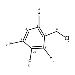 Fc1cc(Br)c(CCl)c(F)c1F